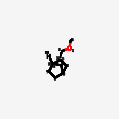 COC[C@@H]1CC2CC[C@H]1C2